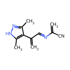 C=C(C#N)/N=C/C(=C)c1c(C)n[nH]c1C